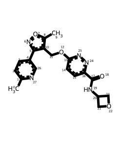 Cc1ccc(-c2noc(C)c2COc2ccc(C(=O)NC3COC3)nn2)cn1